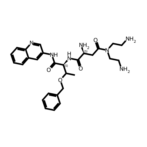 CC(OCc1ccccc1)[C@H](NC(=O)[C@@H](N)CC(=O)N(CCN)CCN)C(=O)Nc1cnc2ccccc2c1